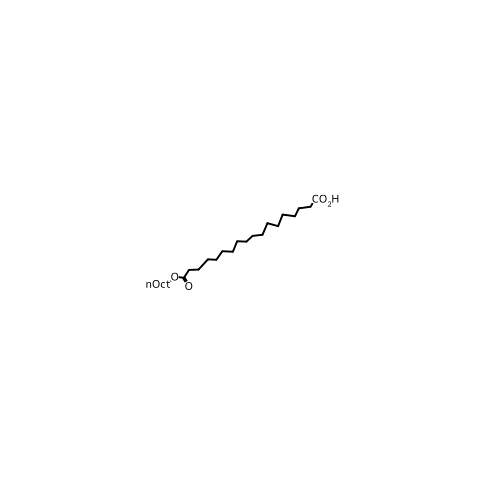 CCCCCCCCOC(=O)CCCCCCCCCCCCCCCCC(=O)O